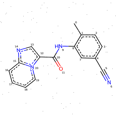 Cc1ccc(C#N)cc1NC(=O)c1cnc2ccccn12